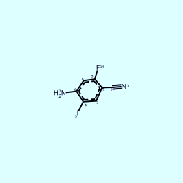 N#Cc1cc(I)c(N)cc1F